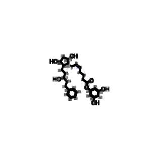 O=C(CCC/C=C\C[C@@H]1[C@@H](CC[C@@H](O)CCc2ccccc2)[C@H](O)C[C@@H]1O)Oc1cc(O)cc(O)c1